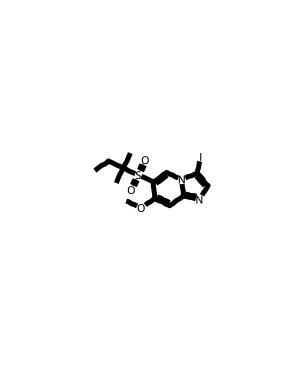 CCC(C)(C)S(=O)(=O)c1cn2c(I)cnc2cc1OC